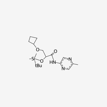 Cc1cnc(NC(=O)C(COC2CCC2)O[Si](C)(C)C(C)(C)C)cn1